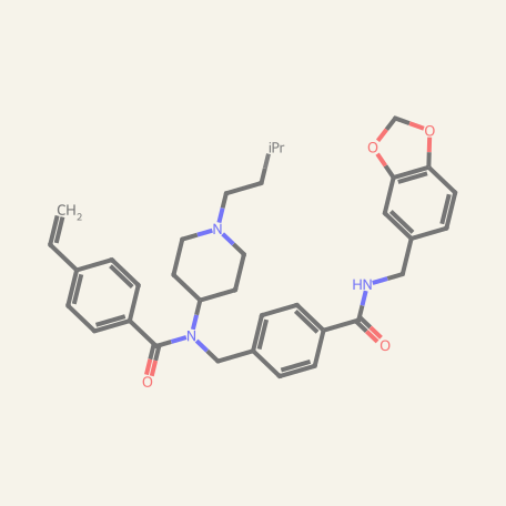 C=Cc1ccc(C(=O)N(Cc2ccc(C(=O)NCc3ccc4c(c3)OCO4)cc2)C2CCN(CCC(C)C)CC2)cc1